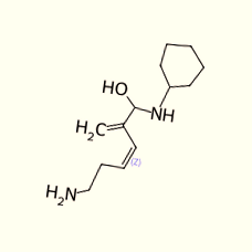 C=C(/C=C\CCN)C(O)NC1CCCCC1